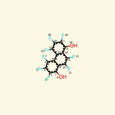 Oc1c(F)c(F)c(F)c2c1c(F)c(F)c1c(O)c(F)c(F)c(F)c12